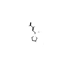 C=C(O)C(Cl)=CC([C@@H](C)CC)N1CC[C@@H](C(=O)O)C1